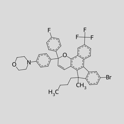 CCCCC1(C)c2ccc(Br)cc2-c2c1c1c(c3cc(C(F)(F)F)ccc23)OC(c2ccc(F)cc2)(c2ccc(N3CCOCC3)cc2)C=C1